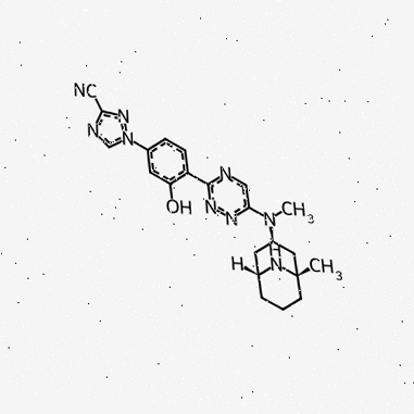 CN(c1cnc(-c2ccc(-n3cnc(C#N)n3)cc2O)nn1)[C@@H]1C[C@H]2CCC[C@@](C)(C1)N2